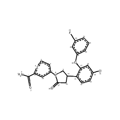 NC(=O)c1cccc(N2CC(c3ccc(Cl)cc3Oc3cccc(F)c3)CC2=O)c1